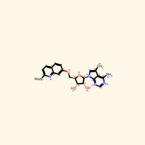 CNc1ccc2ccc(OC[C@H]3O[C@@H](n4cc(C)c5c(N)ncnc54)[C@H](O)[C@@H]3O)cc2n1